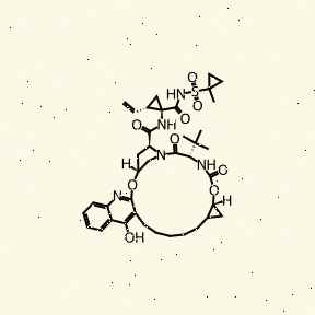 C=C[C@@H]1C[C@]1(NC(=O)[C@@H]1C[C@@H]2CN1C(=O)[C@H](C(C)(C)C)NC(=O)O[C@@H]1CC1CCCCCc1c(nc3ccccc3c1O)O2)C(=O)NS(=O)(=O)C1(C)CC1